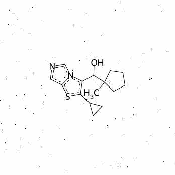 CC1(C(O)c2c(C3CC3)sc3cncn23)CCCC1